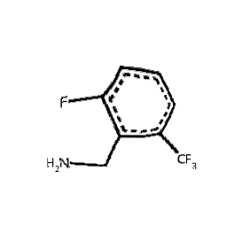 NCc1c(F)cccc1C(F)(F)F